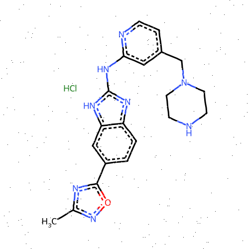 Cc1noc(-c2ccc3nc(Nc4cc(CN5CCNCC5)ccn4)[nH]c3c2)n1.Cl